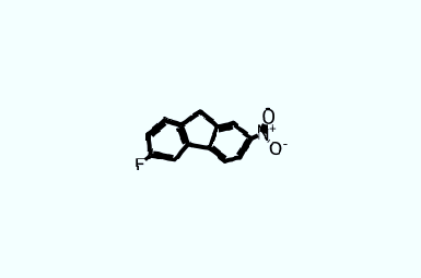 O=[N+]([O-])c1ccc2c(c1)Cc1ccc(F)cc1-2